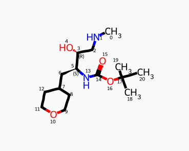 CNC[C@@H](O)[C@H](CC1CCOCC1)NC(=O)OC(C)(C)C